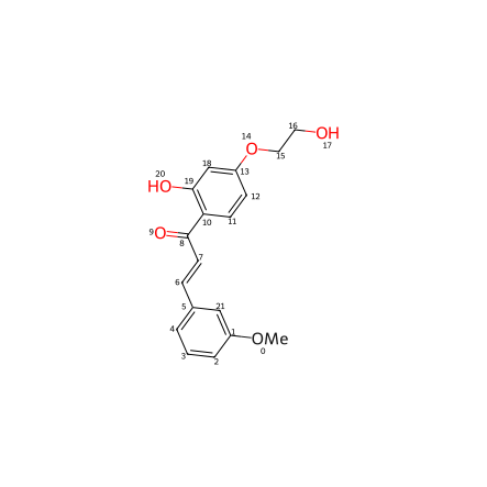 COc1cccc(C=CC(=O)c2ccc(OCCO)cc2O)c1